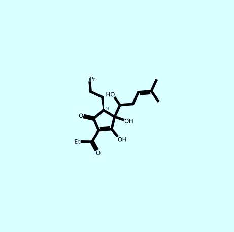 CCC(=O)C1=C(O)C(O)(C(O)CC=C(C)C)[C@H](CCC(C)C)C1=O